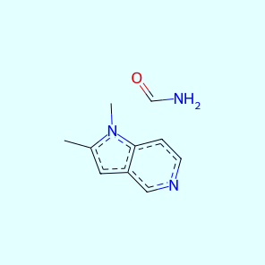 Cc1cc2cnccc2n1C.NC=O